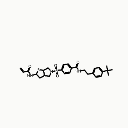 C=CC(=O)NC1CC2CN(S(=O)(=O)c3ccc(C(=O)NCCc4ccc(C(C)(C)C)cc4)cc3)CC2S1